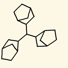 C1CC2CC1CC2[C](C1CC2CCC1C2)C1CC2CCC1C2